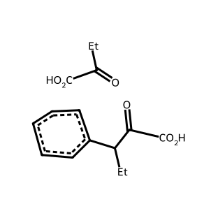 CCC(=O)C(=O)O.CCC(C(=O)C(=O)O)c1ccccc1